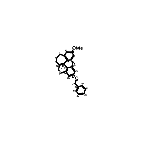 COc1ccc2c(c1)CCCC(Br)=C2c1c(F)cc(OCc2ccccc2)cc1F